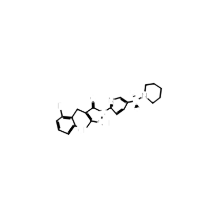 Cc1[nH]n(-c2ccc(S(=O)(=O)N3CCCCC3)cn2)c(=O)c1Cc1c(F)cccc1Cl